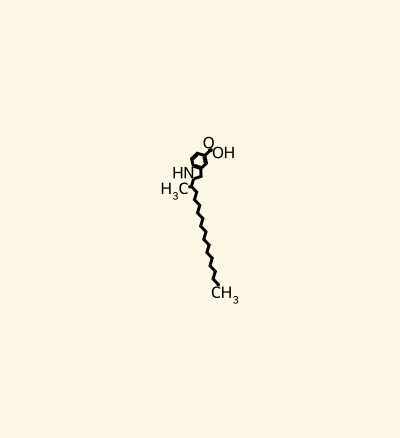 CCCCCCCCCCCCCCCCC(C)C1Cc2cc(C(=O)O)ccc2N1